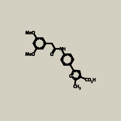 COc1cc(CC(=O)Nc2ccc(-c3cc(C(=O)O)c(C)o3)cc2)cc(OC)c1